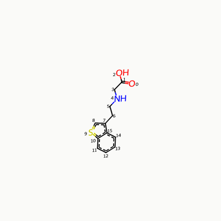 O=C(O)CNCCc1csc2ccccc12